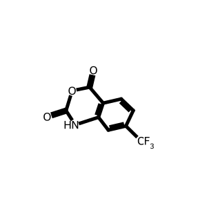 O=c1[nH]c2cc(C(F)(F)F)ccc2c(=O)o1